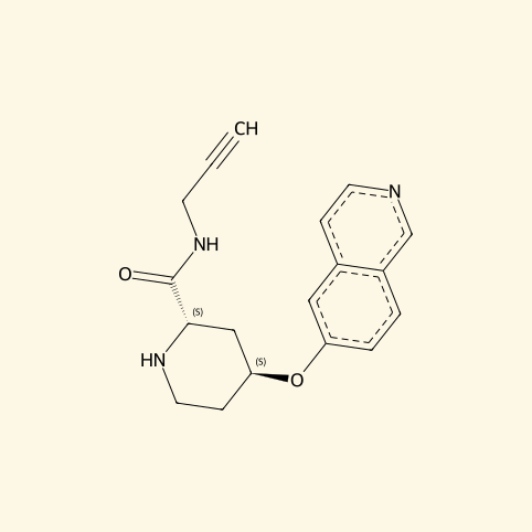 C#CCNC(=O)[C@@H]1C[C@@H](Oc2ccc3cnccc3c2)CCN1